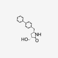 O=C1N[C@H](Cc2ccc(-c3ccccc3)cc2)C[C@H]1CO